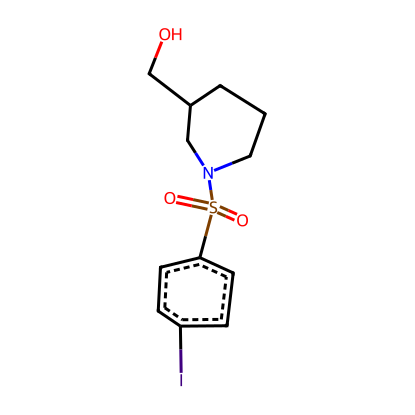 O=S(=O)(c1ccc(I)cc1)N1CCCC(CO)C1